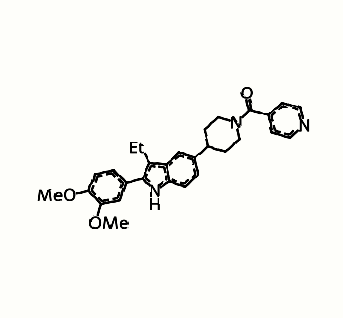 CCc1c(-c2ccc(OC)c(OC)c2)[nH]c2ccc(C3CCN(C(=O)c4ccncc4)CC3)cc12